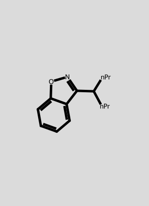 CCCC(CCC)c1noc2ccccc12